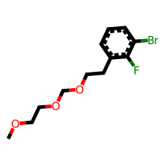 COCCOCOCCc1cccc(Br)c1F